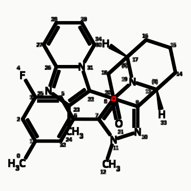 Cc1cc(F)cc(-c2c3c(nn2C)[C@H]2CCC[C@@H](C3)N2C(=O)c2c(C)nc3ccccn23)c1